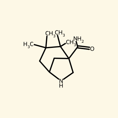 CC1(C)CC2CC(C(N)=O)(CN2)C1(C)C